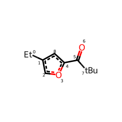 CCc1coc(C(=O)C(C)(C)C)c1